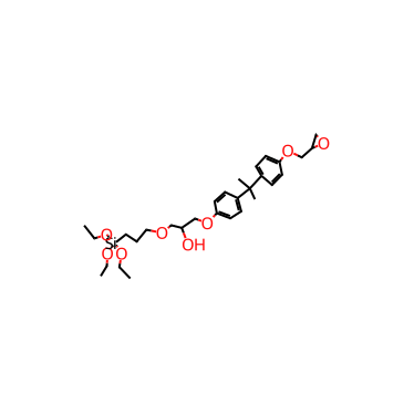 CCO[Si](CCCOCC(O)COc1ccc(C(C)(C)c2ccc(OCC3CO3)cc2)cc1)(OCC)OCC